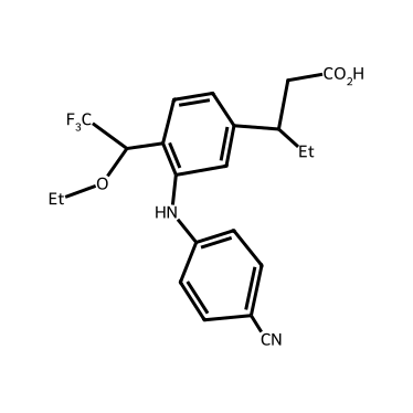 CCOC(c1ccc(C(CC)CC(=O)O)cc1Nc1ccc(C#N)cc1)C(F)(F)F